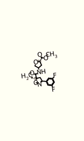 C=C[C@]1(C(=O)NC2CO[C@@H](C(=O)OC)C2)CC(c2cc(F)cc(F)c2)=NO1